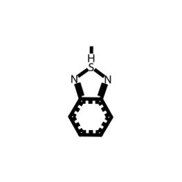 C[SH]1N=c2ccccc2=N1